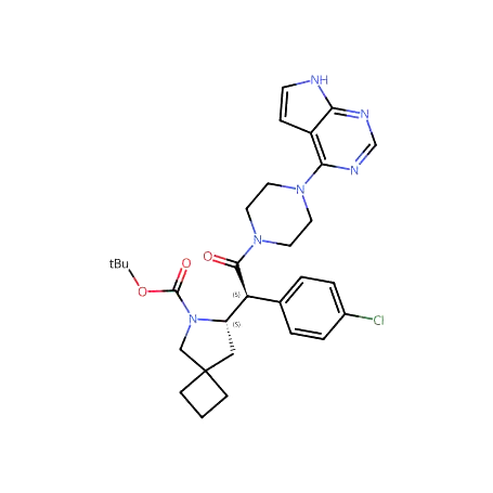 CC(C)(C)OC(=O)N1CC2(CCC2)C[C@H]1[C@@H](C(=O)N1CCN(c2ncnc3[nH]ccc23)CC1)c1ccc(Cl)cc1